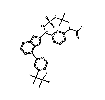 CC(C)(C)NS(=O)(=O)N[C@@H](c1cccc(NC(=O)O)n1)c1cc2cccc(-c3cc(C(C)(O)C(F)(F)F)ccn3)c2s1